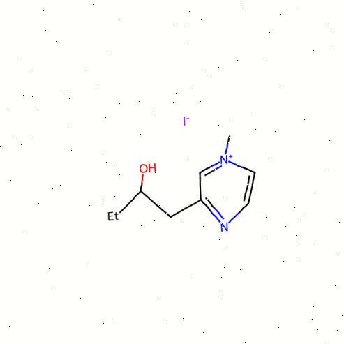 CCC(O)Cc1c[n+](C)ccn1.[I-]